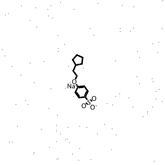 O=S(=O)([O-])c1ccc(OCCC2CCCC2)cc1.[Na+]